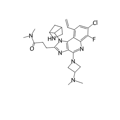 C=Cc1cc(Cl)c(F)c2nc(N3CC(N(C)C)C3)c3nc(CCC(=O)N(C)C)n(C4C5CNC4C5)c3c12